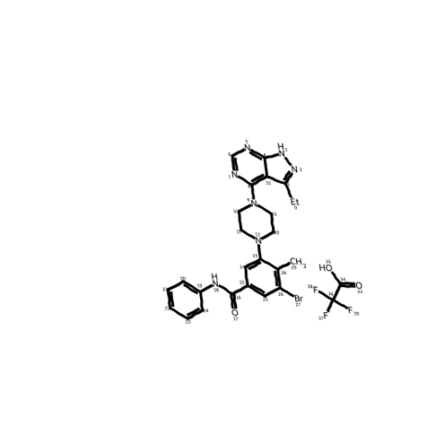 CCc1n[nH]c2ncnc(N3CCN(c4cc(C(=O)Nc5ccccc5)cc(Br)c4C)CC3)c12.O=C(O)C(F)(F)F